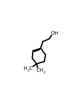 CC1(C)CC=C(CCO)CC1